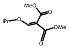 COC(=O)C(=COC(C)C)C(=O)OC